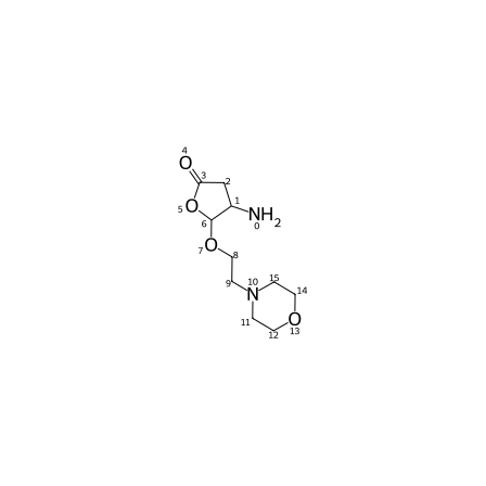 NC1CC(=O)OC1OCCN1CCOCC1